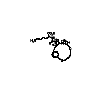 CC[C@H](C)[C@H]1COCCCCOc2ccc(cc2)C[C@@H](NC(=O)NC(CCCCN)C(=O)O)C(=O)N1